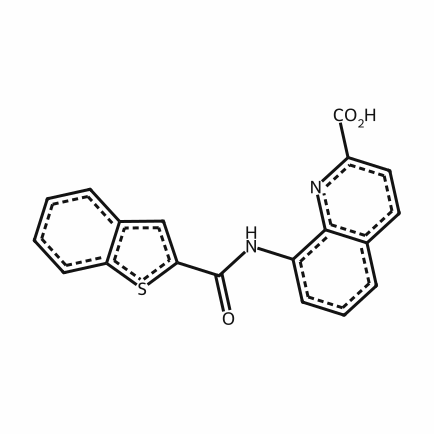 O=C(O)c1ccc2cccc(NC(=O)c3cc4ccccc4s3)c2n1